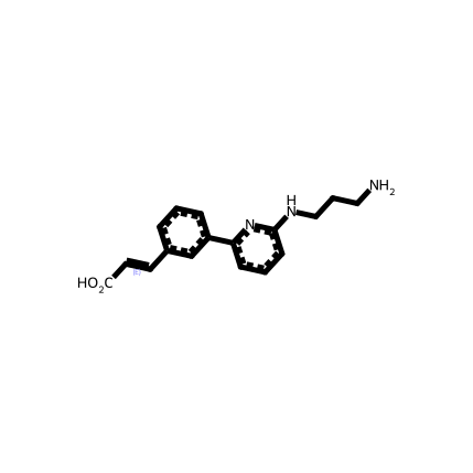 NCCCNc1cccc(-c2cccc(/C=C/C(=O)O)c2)n1